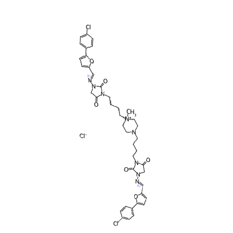 C[N+]1(CCCCN2C(=O)CN(/N=C/c3ccc(-c4ccc(Cl)cc4)o3)C2=O)CCN(CCCCN2C(=O)CN(/N=C/c3ccc(-c4ccc(Cl)cc4)o3)C2=O)CC1.[Cl-]